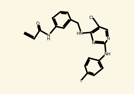 C=CC(=O)Nc1cccc(CNc2nc(Nc3ccc(I)cc3)ncc2Cl)c1